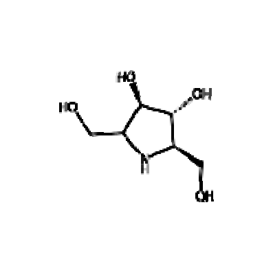 OCC1N[C@H](CO)[C@@H](O)[C@@H]1O